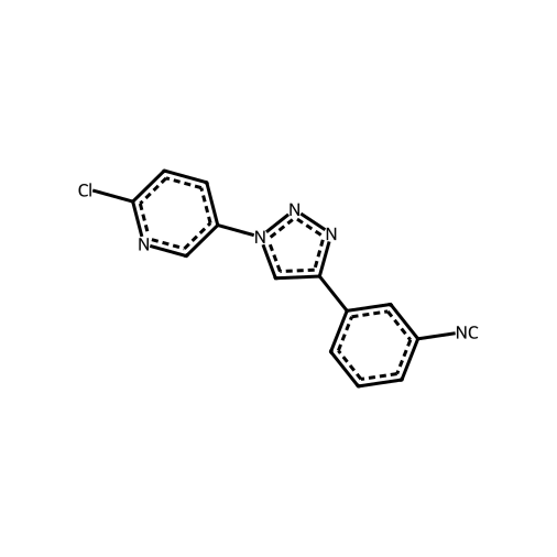 [C-]#[N+]c1cccc(-c2cn(-c3ccc(Cl)nc3)nn2)c1